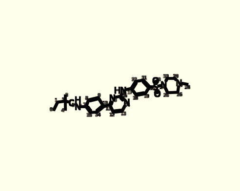 CCC(C)(C)CNc1ccc(-c2ccnc(Nc3ccc(S(=O)(=O)N4CCN(C)CC4)cc3)n2)cc1